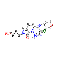 C=N/C=C(Cl)\C(=N/C1CCOCC1)c1ccc2c(n1)C(=O)N(CCCO)C2